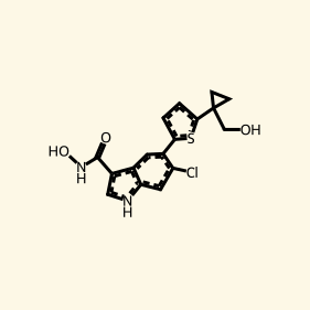 O=C(NO)c1c[nH]c2cc(Cl)c(-c3ccc(C4(CO)CC4)s3)cc12